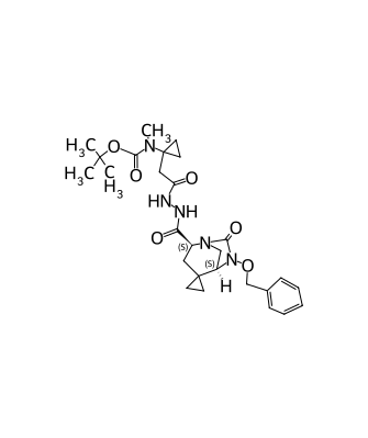 CN(C(=O)OC(C)(C)C)C1(CC(=O)NNC(=O)[C@@H]2CC3(CC3)[C@H]3CN2C(=O)N3OCc2ccccc2)CC1